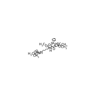 CCOC(=O)[C@H](CCCCCCNC(=O)OC(C)(C)C)N[C@H]1CS[C@H](c2cccs2)CN(CC(=O)OC(C)(C)C)C1=O